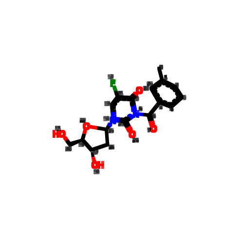 Cc1cccc(C(=O)n2c(=O)c(F)cn([C@H]3C[C@H](O)[C@@H](CO)O3)c2=O)c1